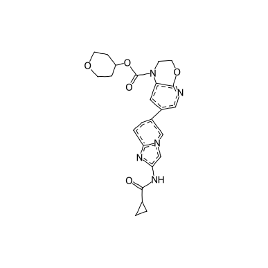 O=C(Nc1cn2cc(-c3cnc4c(c3)N(C(=O)OC3CCOCC3)CCO4)ccc2n1)C1CC1